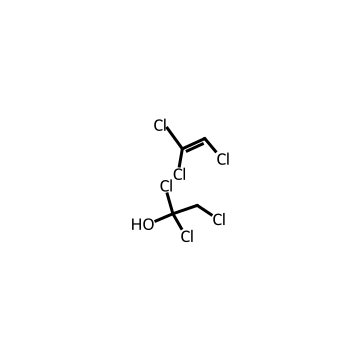 ClC=C(Cl)Cl.OC(Cl)(Cl)CCl